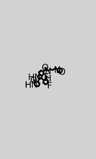 O=C(NCCCN1CCOCC1)c1ccc2[nH]c(-c3ccc[nH]c3=O)c(-c3ccc(F)cc3F)c2c1